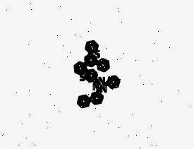 c1ccc(-c2cccc(-c3nc(-c4ccccc4)nc(-c4ccc5c(c4)sc4cccc(-c6cc(-c7ccccc7)c7sc8ccccc8c7c6)c45)n3)c2)cc1